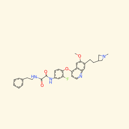 COc1cc2c(Oc3ccc(NC(=O)C(=O)NCCc4ccccc4)cc3F)ccnc2cc1CCC1CN(C)C1